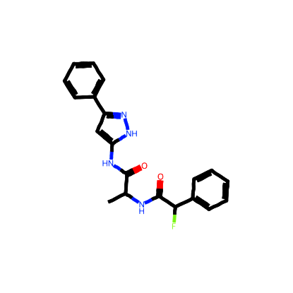 CC(NC(=O)C(F)c1ccccc1)C(=O)Nc1cc(-c2ccccc2)n[nH]1